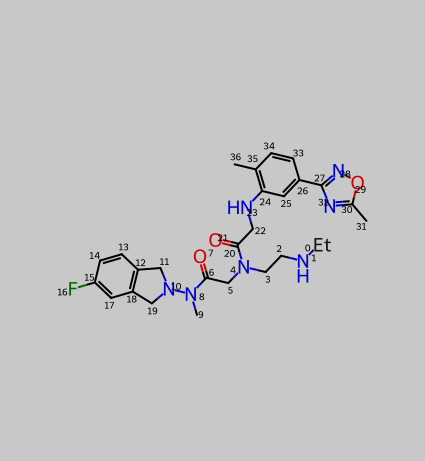 CCNCCN(CC(=O)N(C)N1Cc2ccc(F)cc2C1)C(=O)CNc1cc(-c2noc(C)n2)ccc1C